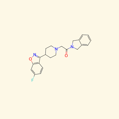 O=C(CN1CCC(c2noc3cc(F)ccc23)CC1)N1Cc2ccccc2C1